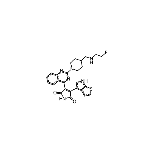 O=C1NC(=O)C(c2c[nH]c3sccc23)=C1c1nc(N2CCC(CNCCF)CC2)nc2ccccc12